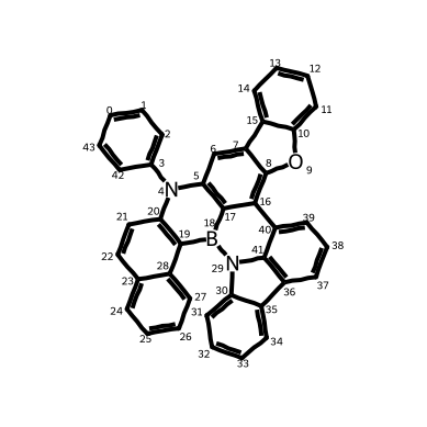 c1ccc(N2c3cc4c(oc5ccccc54)c4c3B(c3c2ccc2ccccc32)n2c3ccccc3c3cccc-4c32)cc1